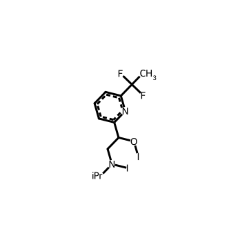 CC(C)N(I)CC(OI)c1cccc(C(C)(F)F)n1